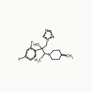 C=C1CCN(C(C)C(O)(Cn2cncn2)c2ccc(F)cc2F)CC1